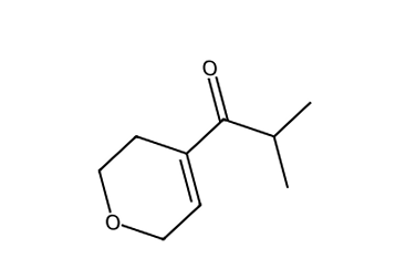 CC(C)C(=O)C1=CCOCC1